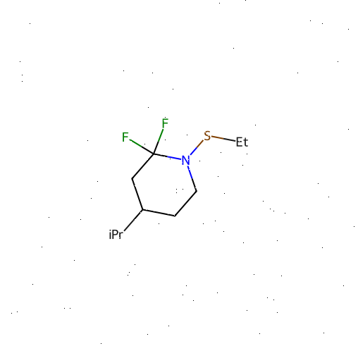 CCSN1CCC(C(C)C)CC1(F)F